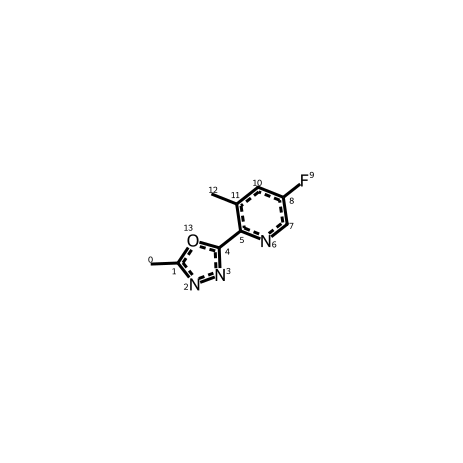 Cc1nnc(-c2ncc(F)cc2C)o1